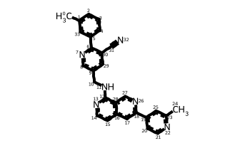 Cc1cccc(-c2ncc(CNc3nccc4cc(-c5ccnc(C)c5)ncc34)cc2C#N)c1